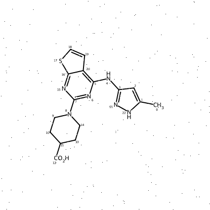 Cc1cc(Nc2nc(N3CCC(C(=O)O)CC3)nc3sccc23)n[nH]1